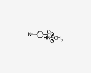 CS(=O)(=O)NC(=O)c1ccc(C#N)cc1